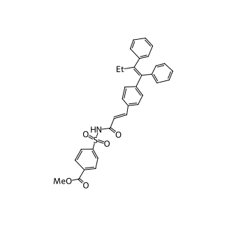 CCC(=C(c1ccccc1)c1ccc(C=CC(=O)NS(=O)(=O)c2ccc(C(=O)OC)cc2)cc1)c1ccccc1